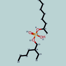 CCCCCCC(C)OP(=O)(O)OCC(CC)CCCC